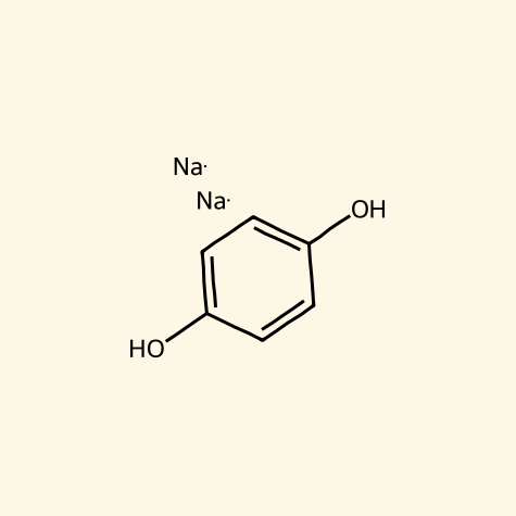 Oc1ccc(O)cc1.[Na].[Na]